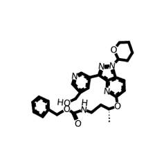 C[C@H](CCNC(=O)OCc1ccccc1)Oc1ccc2c(n1)c(-c1cncc(CO)c1)nn2C1CCCCO1